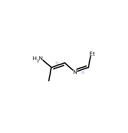 CC/C=N\C=C(/C)N